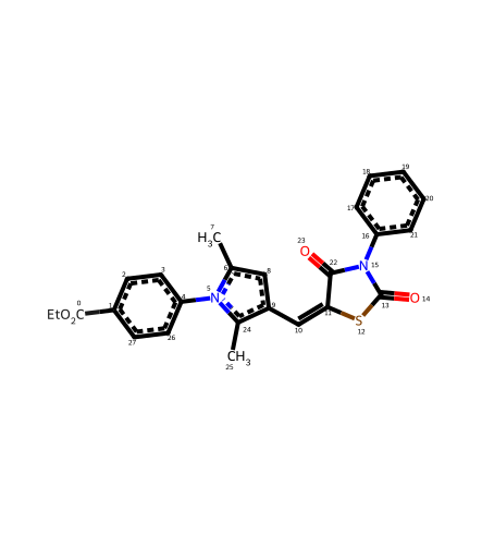 CCOC(=O)c1ccc(-n2c(C)cc(C=C3SC(=O)N(c4ccccc4)C3=O)c2C)cc1